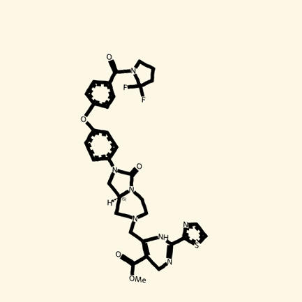 COC(=O)C1=C(CN2CCN3C(=O)N(c4ccc(Oc5ccc(C(=O)N6CCCC6(F)F)cc5)cc4)C[C@@H]3C2)NC(c2nccs2)=NC1